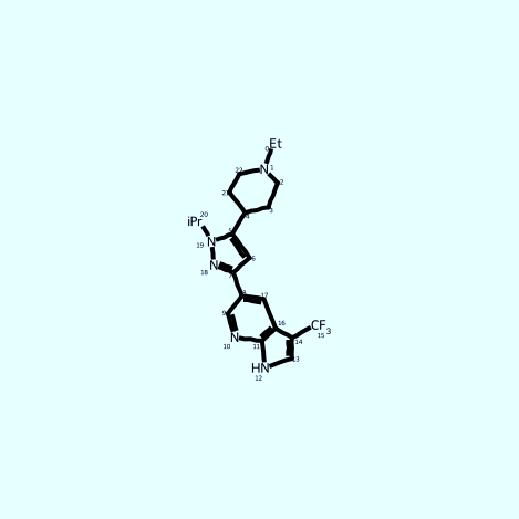 CCN1CCC(c2cc(-c3cnc4[nH]cc(C(F)(F)F)c4c3)nn2C(C)C)CC1